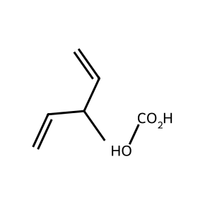 C=CC(C)C=C.O=C(O)O